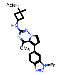 COc1nc(NC2CC(C)(NC(C)=O)C2)nn2ccc(-c3ccc4nnn(C(C)C)c4c3)c12